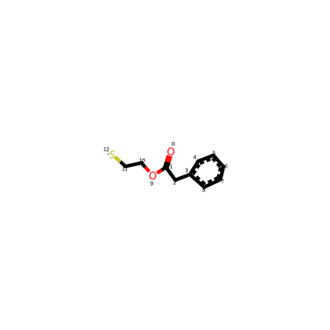 O=C(Cc1ccccc1)OCC[S]